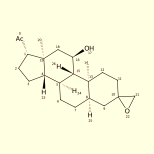 CC(=O)[C@H]1CC[C@H]2[C@@H]3CC[C@@H]4CC5(CC[C@]4(C)[C@H]3[C@H](O)C[C@]12C)CO5